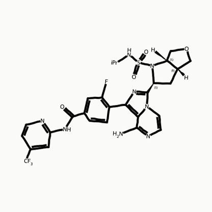 CC(C)NS(=O)(=O)N1[C@@H]2COC[C@@H]2C[C@H]1c1nc(-c2ccc(C(=O)Nc3cc(C(F)(F)F)ccn3)cc2F)c2c(N)nccn12